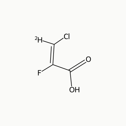 [2H]C(Cl)=C(F)C(=O)O